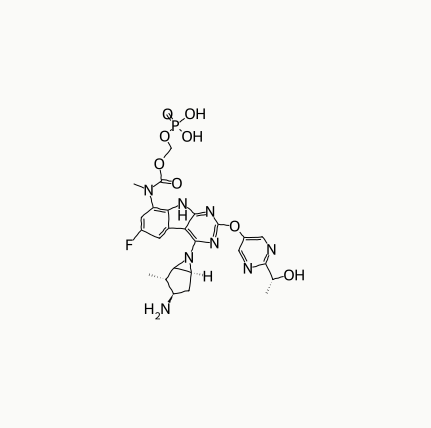 C[C@@H]1C2[C@H](C[C@H]1N)N2c1nc(Oc2cnc([C@@H](C)O)nc2)nc2[nH]c3c(N(C)C(=O)OCOP(=O)(O)O)cc(F)cc3c12